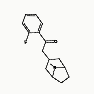 CN1C2CCC1CC(CC(=O)c1ccccc1F)C2